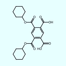 O=C(O)c1cc(C(=O)O)c(C(=O)OC2CCCCC2)cc1C(=O)OC1CCCCC1